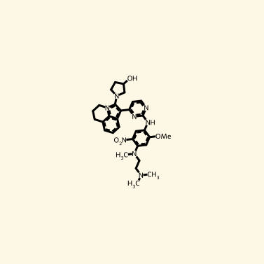 COc1cc(N(C)CCN(C)C)c([N+](=O)[O-])cc1Nc1nccc(-c2c(N3CCC(O)C3)n3c4c(cccc24)CCC3)n1